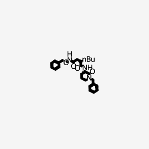 CCCC[C@H](CC(=O)NOCc1ccccc1)C(=O)N[C@H]1CCCN(Cc2ccccc2)C1=O